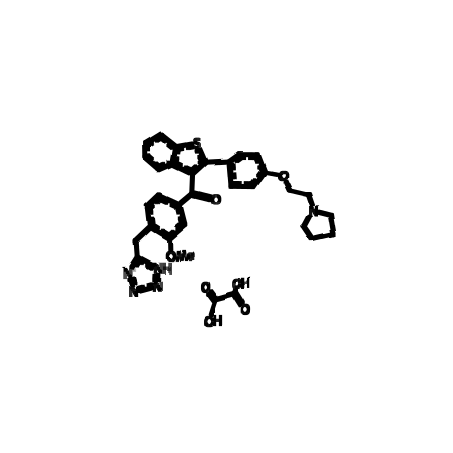 COc1cc(C(=O)c2c(-c3ccc(OCCN4CCCC4)cc3)sc3ccccc23)ccc1Cc1nnn[nH]1.O=C(O)C(=O)O